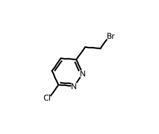 Clc1ccc(CCBr)nn1